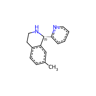 Cc1ccc2c(c1)[C@@H](c1ccccn1)NCC2